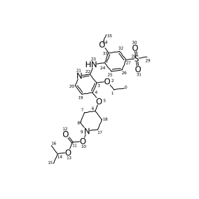 CCOc1c(OC2CCN(OC(=O)OC(C)C)CC2)ccnc1Nc1ccc(S(C)(=O)=O)cc1OC